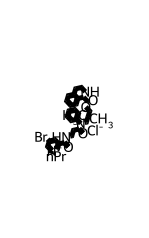 CCC[n+]1cc(Br)cc(C(=O)NCCC(=O)N(CC(C)(C)COC(=O)C2NCCc3ccccc32)c2ccccc2)c1.[Cl-]